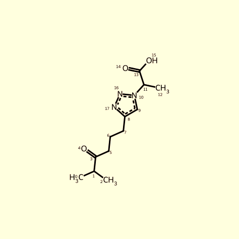 CC(C)C(=O)CCCc1cn(C(C)C(=O)O)nn1